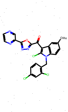 COc1ccc2c(c1)c(C(=O)c1nnc(-c3cnccn3)o1)c(Cl)n2Cc1ccc(Cl)cc1Cl